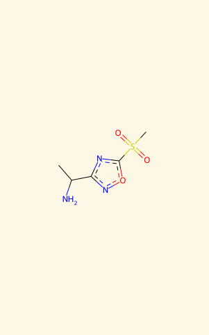 CC(N)c1noc(S(C)(=O)=O)n1